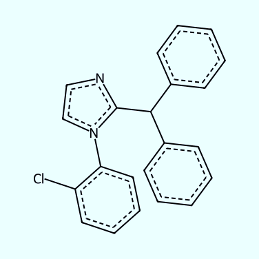 Clc1ccccc1-n1ccnc1C(c1ccccc1)c1ccccc1